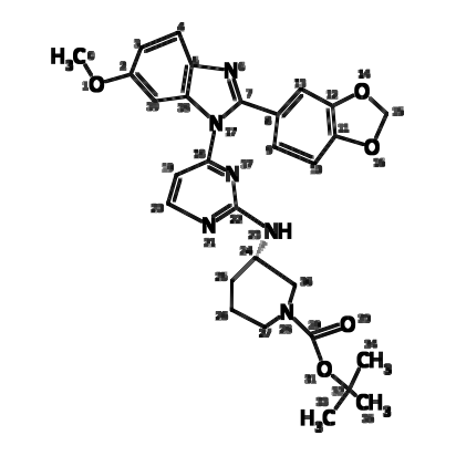 COc1ccc2nc(-c3ccc4c(c3)OCO4)n(-c3ccnc(N[C@H]4CCCN(C(=O)OC(C)(C)C)C4)n3)c2c1